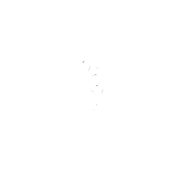 Cc1nc(-c2ccnc(Nc3cccc(N=O)c3)n2)sc1C